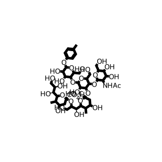 CC(=O)NC1C(OC2C(CO)OC(OC3C(CO)OC(Oc4ccc(C)cc4)C(O)C3O)C(O)C2OC2(C(=O)O)CC(O)C(C)C([C@H](O)C(CO)OC3(C(=O)O)CC(O)C(C)C([C@H](O)[C@H](O)CO)O3)O2)OC(CO)C(O)C1O